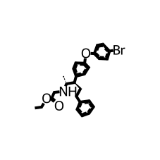 CCOC(=O)CN[C@H](C)[C@H](CCc1ccccc1)c1ccc(Oc2ccc(Br)cc2)cc1